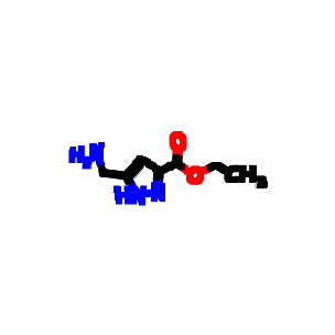 CCOC(=O)c1cc(CN)[nH]n1